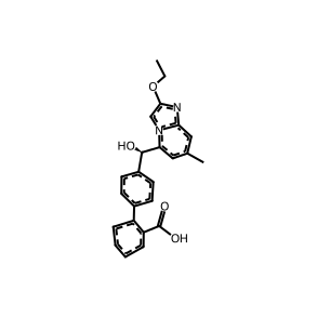 CCOc1cn2c([C@H](O)c3ccc(-c4ccccc4C(=O)O)cc3)cc(C)cc2n1